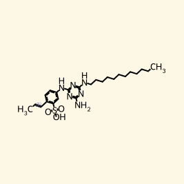 C/C=C/c1ccc(Nc2nc(N)nc(NCCCCCCCCCCCC)n2)cc1S(=O)(=O)O